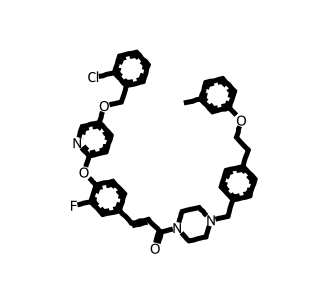 Cc1cccc(OCCc2ccc(CN3CCN(C(=O)/C=C/c4ccc(Oc5ccc(OCc6ccccc6Cl)cn5)c(F)c4)CC3)cc2)c1